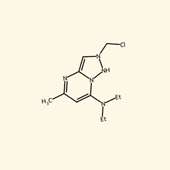 CCN(CC)C1=CC(C)=NC2=CN(CCl)NN21